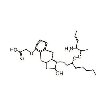 C/C=C/C(N)C(C)OOC(CCCCC)CCC1C(O)CC2Cc3c(cccc3OCC(=O)O)CC21